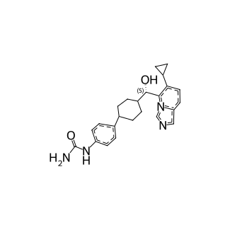 NC(=O)Nc1ccc(C2CCC([C@H](O)c3c(C4CC4)ccc4cncn34)CC2)cc1